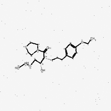 CCOc1ccc(CCC[C@@H](C(=O)N2CCSCC2)[C@H](O)CONO)cc1